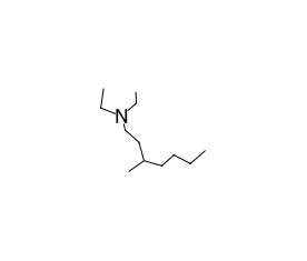 CCCCC(C)CCN(CC)CC